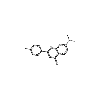 Cc1ccc(-c2cc(=O)c3ccc(N(C)C)cc3o2)cc1